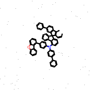 C/C=C\C1=C(C)c2ccc(-c3ccccc3)cc2C12c1ccccc1-c1c(N(c3ccc(-c4ccccc4)cc3)c3ccc(-c4cccc5oc6ccccc6c45)cc3)cccc12